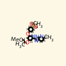 COCC(C)Oc1cc(Oc2ccc(S(C)(=O)=O)cc2)cc(-c2nc3ccc(C)nc3[nH]2)c1